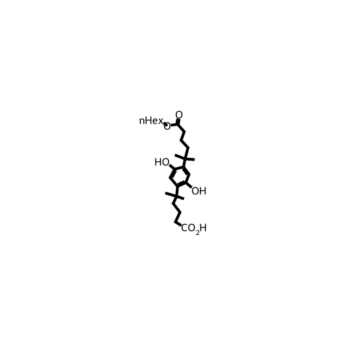 CCCCCCOC(=O)CCCC(C)(C)c1cc(O)c(C(C)(C)CCCC(=O)O)cc1O